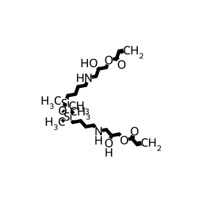 C=CC(=O)OCC(O)CNCCCC[Si](C)(C)O[Si](C)(C)CCCCNCC(O)COC(=O)C=C